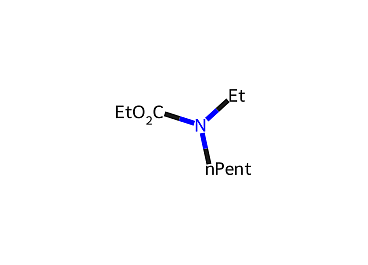 CCCCCN(CC)C(=O)OCC